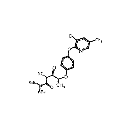 CCCCN(CCCC)C(=O)C(C#N)C(=O)C(C)Oc1ccc(Oc2ncc(C(F)(F)F)cc2Cl)cc1